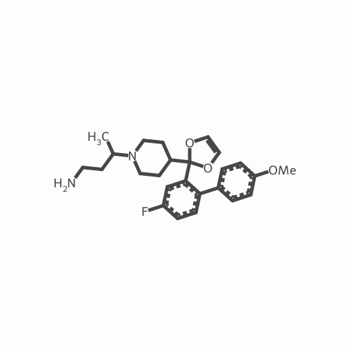 COc1ccc(-c2ccc(F)cc2C2(C3CCN(C(C)CCN)CC3)OC=CO2)cc1